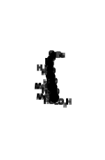 COc1c(NC(=O)c2ccc(NC(=O)c3ccc(NC(=O)[C@@H](N)Cc4cnn(COC(=O)C(C)(C)C)n4)cn3)c(OC)c2O)ccc(C(=O)O)c1O